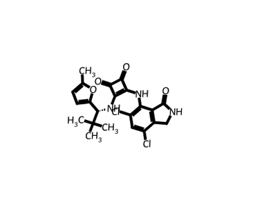 Cc1ccc([C@H](Nc2c(Nc3c(Cl)cc(Cl)c4c3C(=O)NC4)c(=O)c2=O)C(C)(C)C)o1